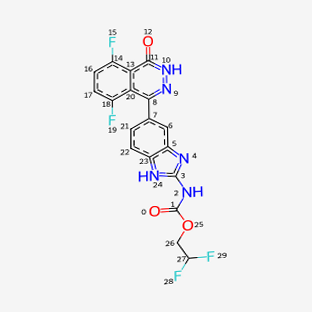 O=C(Nc1nc2cc(-c3n[nH]c(=O)c4c(F)ccc(F)c34)ccc2[nH]1)OCC(F)F